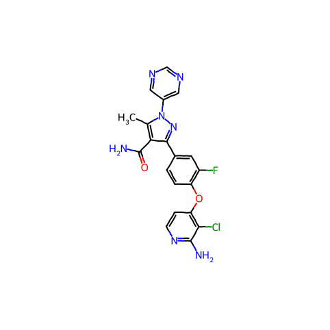 Cc1c(C(N)=O)c(-c2ccc(Oc3ccnc(N)c3Cl)c(F)c2)nn1-c1cncnc1